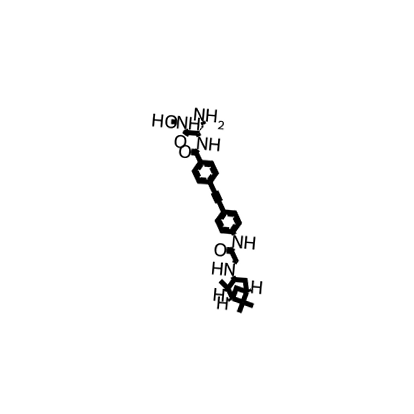 C[C@@H]1C(NCC(=O)Nc2ccc(C#Cc3ccc(C(=O)N[C@@H](CN)C(=O)NO)cc3)cc2)C[C@H]2C[C@@H]1C2(C)C